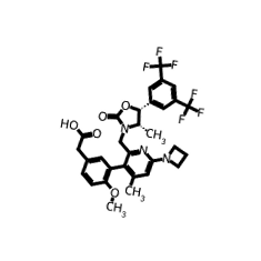 COc1ccc(CC(=O)O)cc1-c1c(C)cc(N2CCC2)nc1CN1C(=O)O[C@H](c2cc(C(F)(F)F)cc(C(F)(F)F)c2)[C@@H]1C